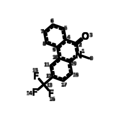 Cn1c(=O)c2ccccc2c2cc(C(F)(F)F)ccc21